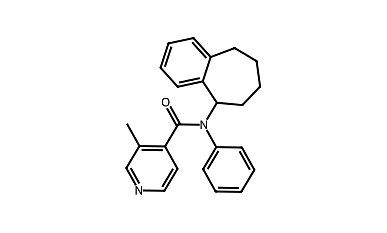 Cc1cnccc1C(=O)N(c1ccccc1)C1CCCCc2ccccc21